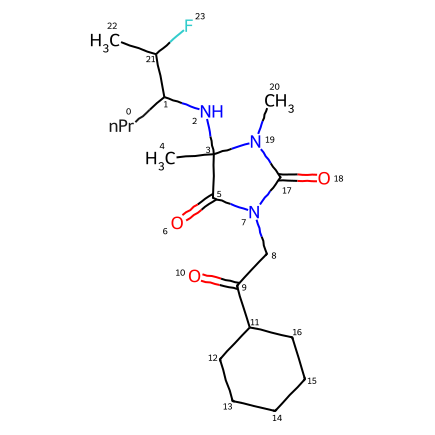 CCCC(NC1(C)C(=O)N(CC(=O)C2CCCCC2)C(=O)N1C)C(C)F